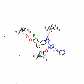 CCc1cc(OCOCC[Si](C)(C)C)c(F)cc1-c1ccc2c(-c3nc(CNc4cccnc4)cn3COCC[Si](C)(C)C)nn(COCC[Si](C)(C)C)c2c1